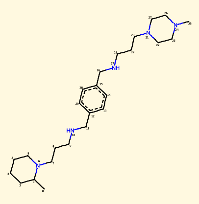 CC1CCCCN1CCCNCc1ccc(CNCCCN2CCN(C)CC2)cc1